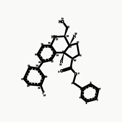 O=C(OCc1ccccc1)N1CC[C@@H]2[C@H](CO)Nc3ccc(-c4cccc(F)c4)cc3[C@@H]21